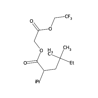 CCC(C)(C)CC(C(=O)OCC(=O)OCC(F)(F)F)C(C)C